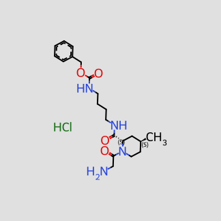 C[C@H]1CCN(C(=O)CN)[C@H](C(=O)NCCCCNC(=O)OCc2ccccc2)C1.Cl